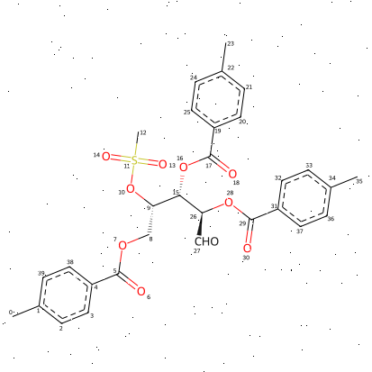 Cc1ccc(C(=O)OC[C@H](OS(C)(=O)=O)[C@H](OC(=O)c2ccc(C)cc2)[C@H](C=O)OC(=O)c2ccc(C)cc2)cc1